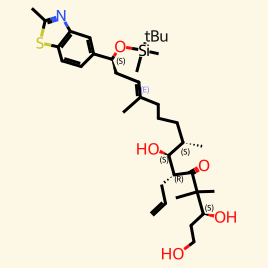 C=CC[C@@H](C(=O)C(C)(C)[C@@H](O)CCO)[C@@H](O)[C@@H](C)CCC/C(C)=C/C[C@H](O[Si](C)(C)C(C)(C)C)c1ccc2sc(C)nc2c1